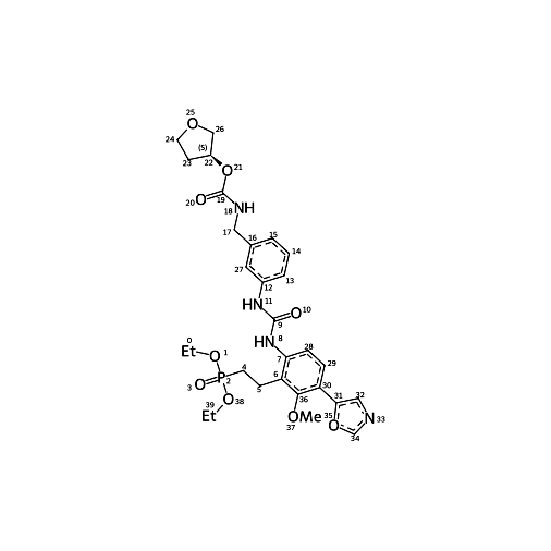 CCOP(=O)(CCc1c(NC(=O)Nc2cccc(CNC(=O)O[C@H]3CCOC3)c2)ccc(-c2cnco2)c1OC)OCC